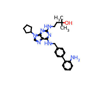 CC(C)(O)CCNc1nc(NCc2ccc(-c3ccccc3N)cc2)c2ncn(C3CCCC3)c2n1